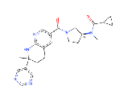 CN(C(=O)C1CC1)[C@H]1CCN(C(=O)c2cnc3c(c2)CCC(C)(c2cncnc2)N3)C1